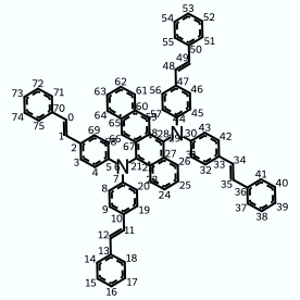 C(=Cc1ccc(N(c2ccc(C=Cc3ccccc3)cc2)c2c3ccccc3c(N(c3ccc(C=Cc4ccccc4)cc3)c3ccc(C=Cc4ccccc4)cc3)c3cc4ccccc4cc23)cc1)c1ccccc1